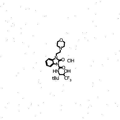 CC(C)(C)[C@H](NC(=O)n1c(=O)n(CCN2CCOCC2)c2ccccc21)C(O)C(F)(F)F.Cl